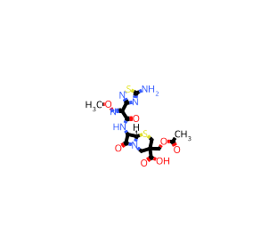 CON=C(C(=O)NC1C(=O)N2CC(COC(C)=O)(C(=O)O)CS[C@H]12)c1nsc(N)n1